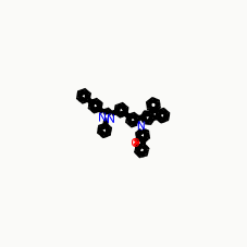 C1=CCC2C(=C1)Oc1cc(-n3c4ccc(-c5cccc(-c6cc(-c7ccc(-c8ccccc8)cc7)nc(-c7ccccc7)n6)c5)cc4c4cc5c(cc43)-c3ccccc3C53CCCCC3)ccc12